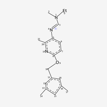 CCN(C)/C=N/c1ccc(OCc2cc(C)cc(C)c2)nc1C